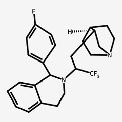 Fc1ccc(C2c3ccccc3CCN2C(C[C@@H]2CN3CCC2CC3)C(F)(F)F)cc1